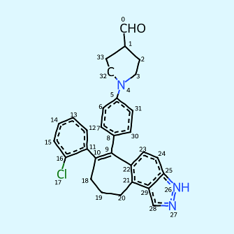 O=CC1CCN(c2ccc(C3=C(c4ccccc4Cl)CCCc4c3ccc3[nH]ncc43)cc2)CC1